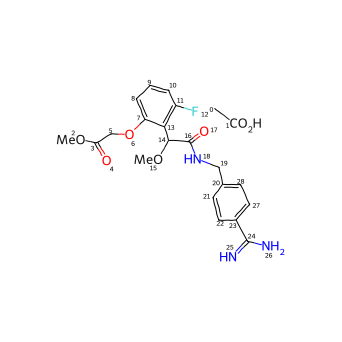 CC(=O)O.COC(=O)COc1cccc(F)c1C(OC)C(=O)NCc1ccc(C(=N)N)cc1